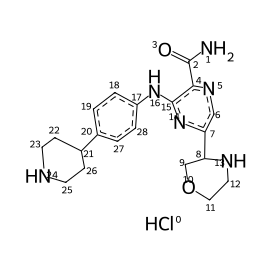 Cl.NC(=O)c1ncc(C2COCCN2)nc1Nc1ccc(C2CCNCC2)cc1